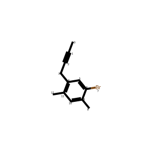 CC#CCc1cc(Br)c(C)cc1C